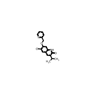 CC(C)c1cc2cc(Cl)c(OCc3ccccn3)cc2[nH]c1=O